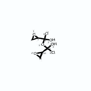 OC(Cl)(OC(O)(Cl)C1CO1)C1CO1